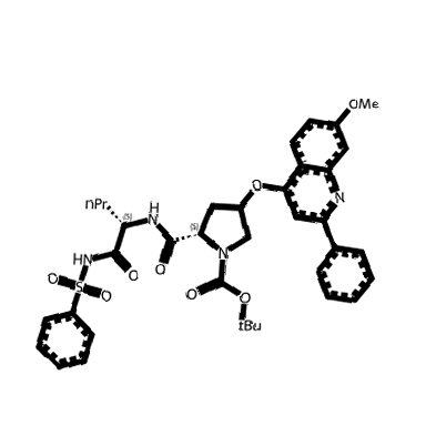 CCC[C@H](NC(=O)[C@@H]1CC(Oc2cc(-c3ccccc3)nc3cc(OC)ccc23)CN1C(=O)OC(C)(C)C)C(=O)NS(=O)(=O)c1ccccc1